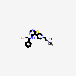 CN(C)CCN1CCc2c(sc3ncnc(N[C@H](CO)c4ccccc4)c23)C1